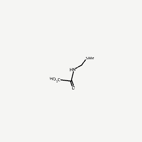 CSCNC(=O)C(=O)O